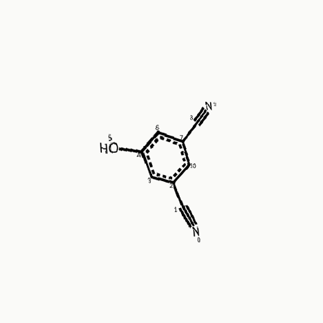 N#Cc1cc(O)cc(C#N)c1